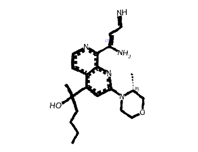 CCCCC(C)(O)c1cc(N2CCOC[C@H]2C)nc2c(/C(N)=C/C=N)nccc12